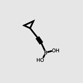 OB(O)C#CC1CC1